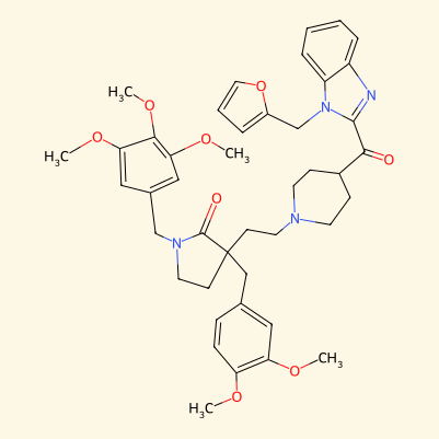 COc1ccc(CC2(CCN3CCC(C(=O)c4nc5ccccc5n4Cc4ccco4)CC3)CCN(Cc3cc(OC)c(OC)c(OC)c3)C2=O)cc1OC